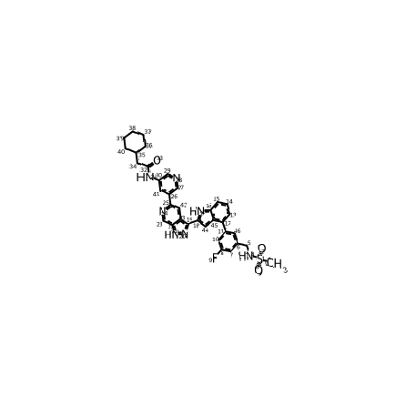 CS(=O)(=O)NCc1cc(F)cc(-c2cccc3[nH]c(-c4n[nH]c5cnc(-c6cncc(NC(=O)CC7CCCCC7)c6)cc45)cc23)c1